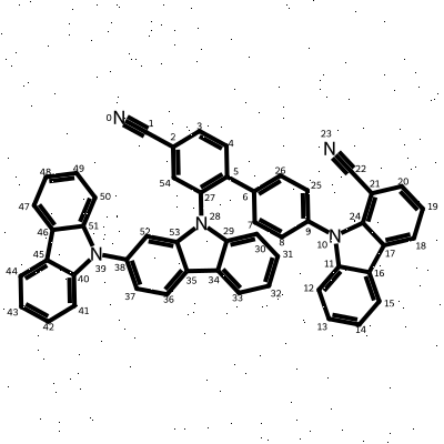 N#Cc1ccc(-c2ccc(-n3c4ccccc4c4cccc(C#N)c43)cc2)c(-n2c3ccccc3c3ccc(-n4c5ccccc5c5ccccc54)cc32)c1